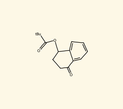 CC(C)(C)C(=O)OC1CCC(=O)c2ccccc21